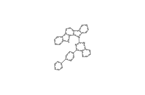 c1ccc(-c2ccc(-c3nc(-n4c5ccccc5c5ccc6c7ccccc7sc6c54)nc4ccccc34)cc2)cc1